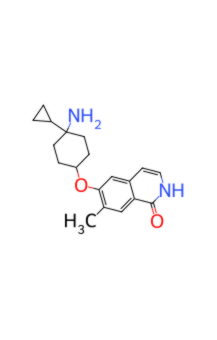 Cc1cc2c(=O)[nH]ccc2cc1OC1CCC(N)(C2CC2)CC1